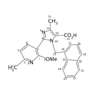 COc1nc(C)ccc1-c1nc(C)c(C(=O)O)n1Cc1cccc2ccccc12